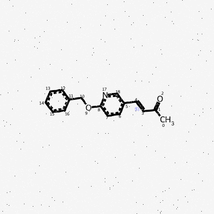 CC(=O)/C=C/c1ccc(OCc2ccccc2)nc1